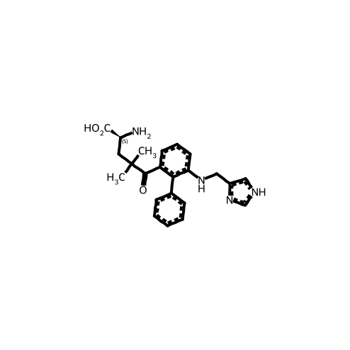 CC(C)(C[C@H](N)C(=O)O)C(=O)c1cccc(NCc2c[nH]cn2)c1-c1ccccc1